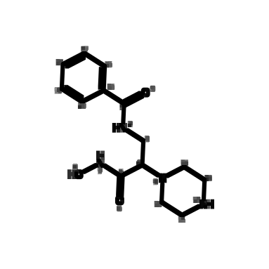 O=C(NCC(C(=O)NO)N1CCNCC1)c1ccccc1